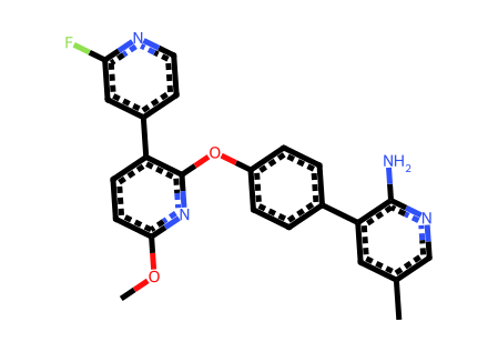 COc1ccc(-c2ccnc(F)c2)c(Oc2ccc(-c3cc(C)cnc3N)cc2)n1